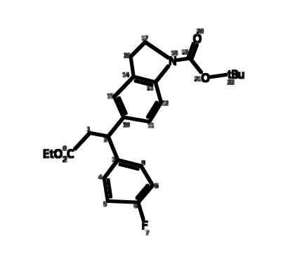 CCOC(=O)CC(c1ccc(F)cc1)c1ccc2c(c1)CCN2C(=O)OC(C)(C)C